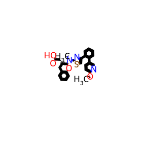 COc1ccc(-c2ccccc2-c2csc(N(C)C(=O)[C@@H](CC(=O)O)Cc3ccccc3)n2)cn1